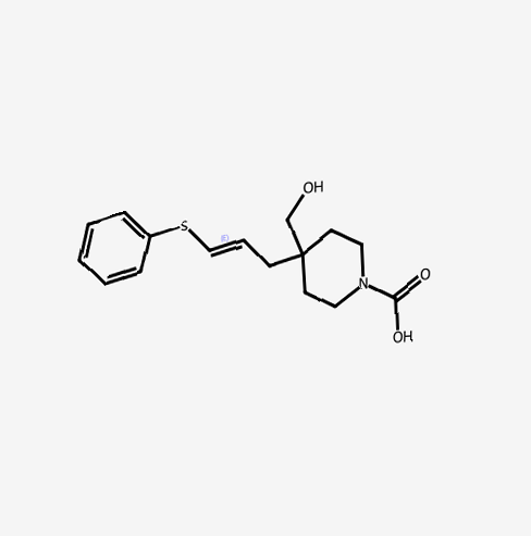 O=C(O)N1CCC(CO)(C/C=C/Sc2ccccc2)CC1